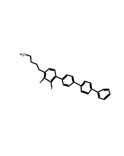 CCCCCc1ccc(-c2ccc(-c3ccc(-c4ccccc4)cc3)cc2)c(F)c1F